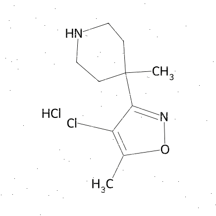 Cc1onc(C2(C)CCNCC2)c1Cl.Cl